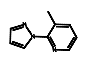 Cc1cccnc1-n1cccn1